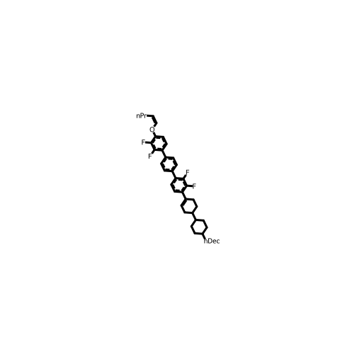 CCC/C=C\Oc1ccc(-c2ccc(-c3ccc(C4=CCC(C5CCC(CCCCCCCCCC)CC5)CC4)c(F)c3F)cc2)c(F)c1F